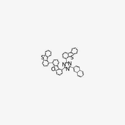 C1=CC2C=CC(c3nc(-c4cccc5c4sc4ccccc45)nc(-c4cccc5oc6c(-c7cccc8sc9ccccc9c78)cccc6c45)n3)=CC2C=C1